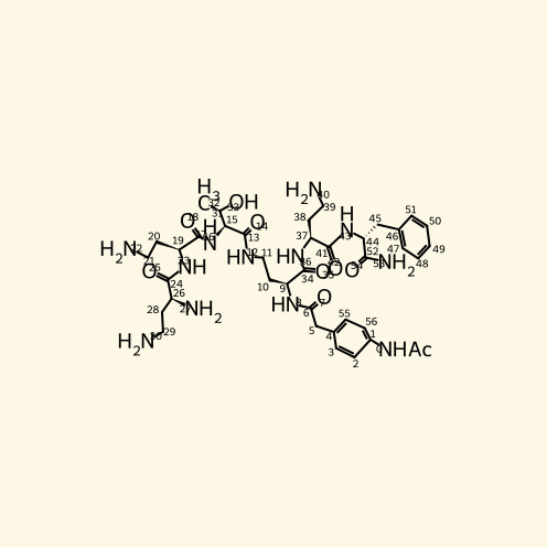 CC(=O)Nc1ccc(CC(=O)N[C@@H](CCNC(=O)[C@@H](NC(=O)[C@H](CCN)NC(=O)[C@@H](N)CCN)[C@@H](C)O)C(=O)N[C@@H](CCN)C(=O)N[C@H](Cc2ccccc2)C(N)=O)cc1